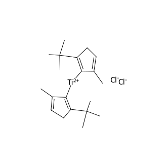 CC1=CCC(C(C)(C)C)=[C]1[Ti+2][C]1=C(C(C)(C)C)CC=C1C.[Cl-].[Cl-]